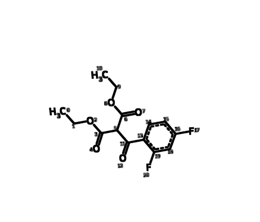 CCOC(=O)C(C(=O)OCC)C(=O)c1ccc(F)cc1F